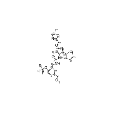 COCc1ccc(OC(F)(F)F)c(CNC(=O)Nc2c(C)c(OCc3nnc(C)o3)nn2-c2ccccc2)c1